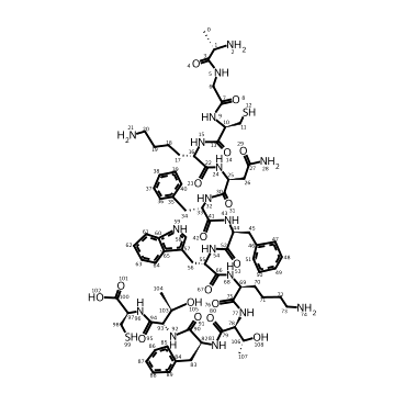 C[C@H](N)C(=O)NCC(=O)N[C@@H](CS)C(=O)N[C@@H](CCCCN)C(=O)N[C@@H](CC(N)=O)C(=O)N[C@@H](Cc1ccccc1)C(=O)N[C@@H](Cc1ccccc1)C(=O)N[C@@H](Cc1c[nH]c2ccccc12)C(=O)N[C@@H](CCCCN)C(=O)N[C@H](C(=O)N[C@@H](Cc1ccccc1)C(=O)N[C@H](C(=O)N[C@@H](CS)C(=O)O)[C@@H](C)O)[C@@H](C)O